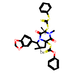 CN1C(=O)C2(SC(=S)Oc3ccccc3)C[C@](C)(C#N)C(c3ccc4c(c3)OCO4)N2C(=O)[C@]1(C)SC(=S)Sc1ccccc1